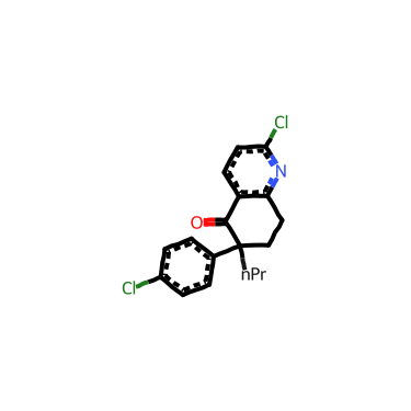 CCCC1(c2ccc(Cl)cc2)CCc2nc(Cl)ccc2C1=O